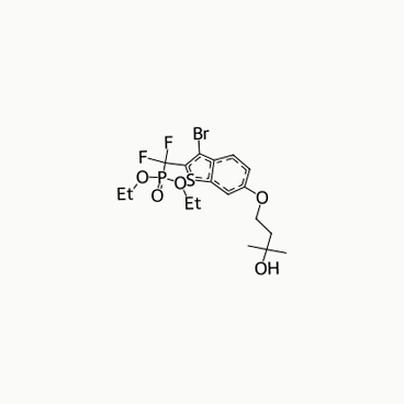 CCOP(=O)(OCC)C(F)(F)c1sc2cc(OCCC(C)(C)O)ccc2c1Br